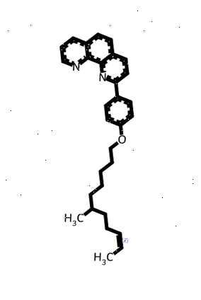 C/C=C\CCC(C)CCCCCOc1ccc(-c2ccc3ccc4cccnc4c3n2)cc1